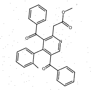 COC(=O)Cc1ncc(C(=O)c2ccccc2)c(-c2ccccc2C)c1C(=O)c1ccccc1